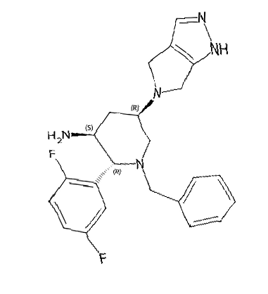 N[C@H]1C[C@@H](N2Cc3cn[nH]c3C2)CN(Cc2ccccc2)[C@@H]1c1cc(F)ccc1F